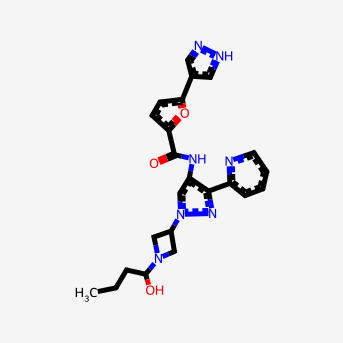 CCCC(O)N1CC(n2cc(NC(=O)c3ccc(-c4cn[nH]c4)o3)c(-c3ccccn3)n2)C1